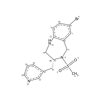 CS(=O)(=O)N1Cc2cc(Br)ccc2NC[C@H]1Cc1cccnc1